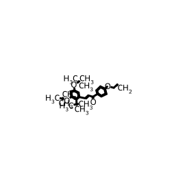 C=CCOc1ccc(C(=O)C=Cc2cc(OC(C)(C)C)cc(OC(C)(C)C)c2C(C)(C)C)cc1